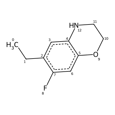 CCc1cc2c(cc1F)OCCN2